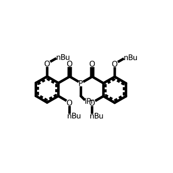 CCCCOc1cccc(OCCCC)c1C(=O)P(CC(C)C)C(=O)c1c(OCCCC)cccc1OCCCC